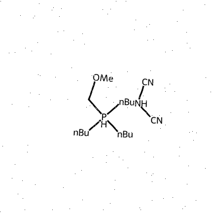 CCCC[PH](CCCC)(CCCC)COC.N#CNC#N